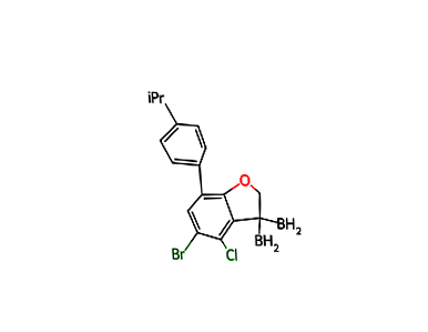 BC1(B)COc2c(-c3ccc(C(C)C)cc3)cc(Br)c(Cl)c21